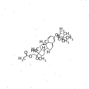 CC(=O)OCC(=O)[C@@]1(O)C(C)C[C@H]2[C@@H]3CC=C4C=C(O[Si](C)(C)C(C)(C)C)C=C[C@]4(C)C3=CC[C@@]21C